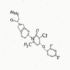 CNCC(=O)N1Cc2ccc(-n3c(C)cc(OCc4ccc(F)cc4F)c(Cl)c3=O)cc2C1